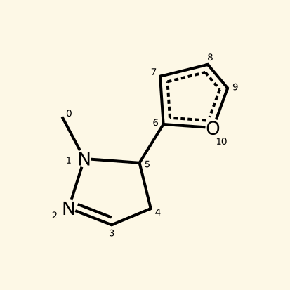 CN1N=CCC1c1ccco1